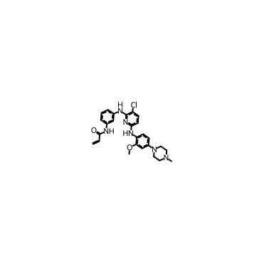 C=CC(=O)Nc1cccc(Nc2nc(Nc3ccc(N4CCN(C)CC4)cc3OC)ccc2Cl)c1